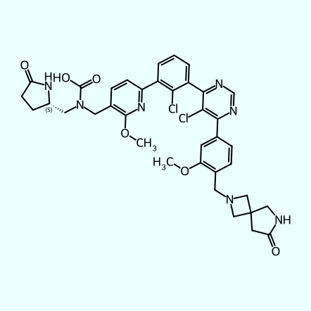 COc1cc(-c2ncnc(-c3cccc(-c4ccc(CN(C[C@@H]5CCC(=O)N5)C(=O)O)c(OC)n4)c3Cl)c2Cl)ccc1CN1CC2(CNC(=O)C2)C1